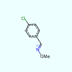 CO/N=C/c1c[c]c(Cl)cc1